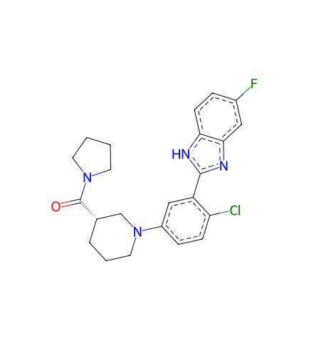 O=C([C@H]1CCCN(c2ccc(Cl)c(-c3nc4cc(F)ccc4[nH]3)c2)C1)N1CCCC1